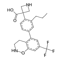 CCCc1cc(-c2cc(C(F)(F)F)cc3c2CCNO3)ccc1C1(C(=O)O)CNC1